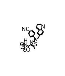 Cc1sc(N(Cc2ccc3ncccc3c2)c2ccc(C#N)cc2)nc1C(=O)NS(C)(=O)=O